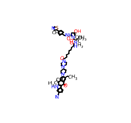 CCc1cc2c(cc1N1CCC(N3CCN(C(=O)CCCCCCCC(=O)NC(C(=O)N4C[C@H](O)C[C@H]4C(=O)NCc4ccc(-c5scnc5C)cc4)C(C)(C)C)CC3)CC1)C(C)(C)c1[nH]c3cc(C#N)ccc3c1C2=O